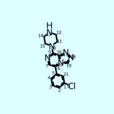 Clc1cccc(-c2cnc(N3CCNCC3)c3nncn23)c1